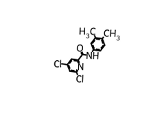 Cc1ccc(NC(=O)c2cc(Cl)cc(Cl)n2)cc1C